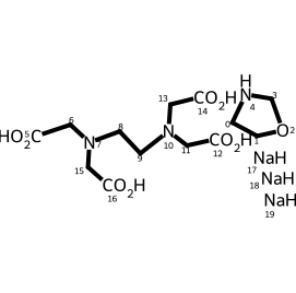 C1COCN1.O=C(O)CN(CCN(CC(=O)O)CC(=O)O)CC(=O)O.[NaH].[NaH].[NaH]